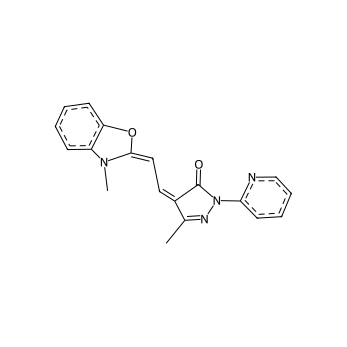 CC1=NN(c2ccccn2)C(=O)C1=CC=C1Oc2ccccc2N1C